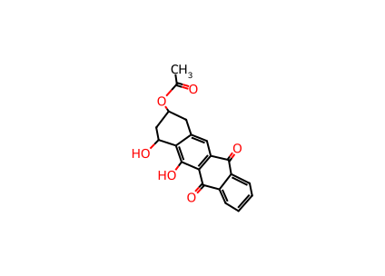 CC(=O)OC1Cc2cc3c(c(O)c2C(O)C1)C(=O)c1ccccc1C3=O